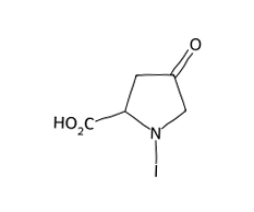 O=C1CC(C(=O)O)N(I)C1